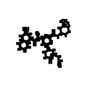 CN1CCCC(CNc2nc(C(=O)Nc3cc(O)cc4ccccc34)cc(N3CCN[C@@H](CC#N)C3)n2)C1